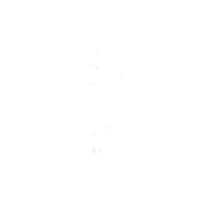 CC(C)CC(=O)OCCCCOC(=O)ON1C(=O)CCC1=O